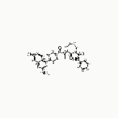 Nc1cc(N2CCN(C(=O)NC3CCCCN(C(=O)Nc4ccccc4)C3=O)CC2)c2ccc(Cl)cc2n1